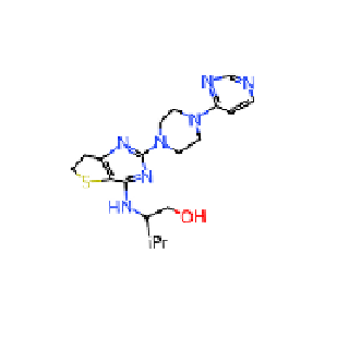 CC(C)C(CO)Nc1nc(N2CCN(c3ccncn3)CC2)nc2c1SCC2